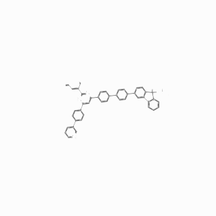 C=C/C=C(\C=C)c1nc(-c2ccc(-c3ccc(-c4ccc5c(c4)-c4ccccc4C5(C)C)cc3)cc2)cc(-c2ccc(-c3cccnc3)cc2)n1